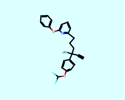 C#CC(CCC)(CCCc1cccc(Oc2ccccc2)n1)c1ccc(OC(F)F)cc1